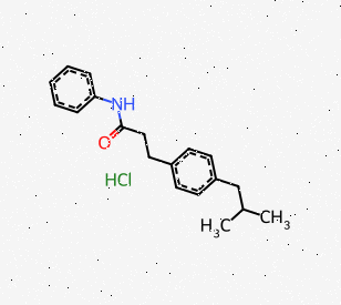 CC(C)Cc1ccc(CCC(=O)Nc2ccccc2)cc1.Cl